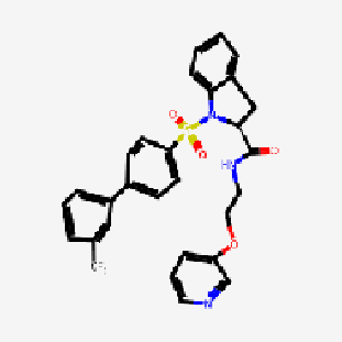 O=C(NCCOc1cccnc1)[C@@H]1Cc2ccccc2N1S(=O)(=O)c1ccc(-c2cccc(C(F)(F)F)c2)cc1